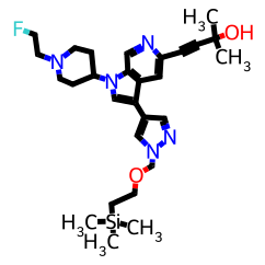 CC(C)(O)C#Cc1cc2c(-c3cnn(COCC[Si](C)(C)C)c3)cn(C3CCN(CCF)CC3)c2cn1